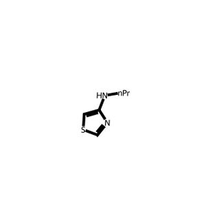 CCCNc1cs[c]n1